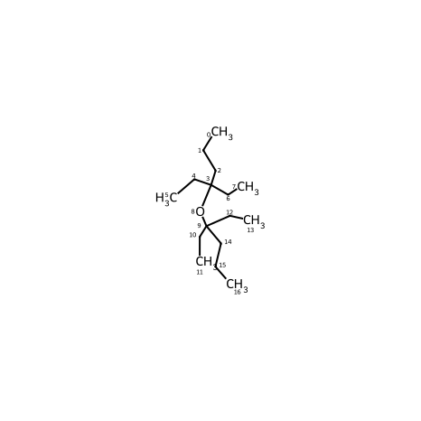 CCCC(CC)(CC)OC(CC)(CC)CCC